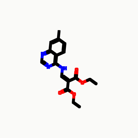 CCOC(=O)C(=CNc1ncnc2cc(C)ccc12)C(=O)OCC